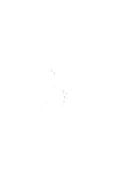 O=[N+]([O-])[O-].[Fe+2].[Na+].[OH-]